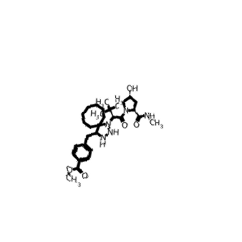 CNC(=O)[C@@H]1C[C@@H](O)CN1C(=O)[C@@H](N1NNC(Cc2ccc(C(=O)OC)cc2)C12CCCCCCC2)C(C)(C)C